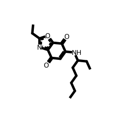 CCCCCC(CC)NC1=CC(=O)c2nc(CC)oc2C1=O